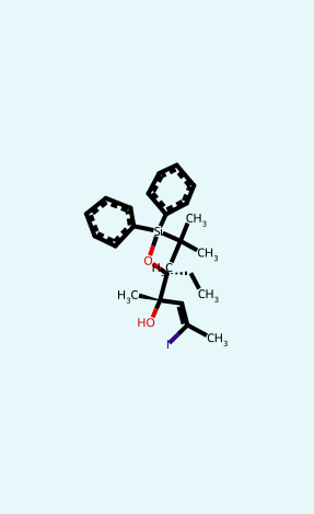 CC[C@@H](O[Si](c1ccccc1)(c1ccccc1)C(C)(C)C)[C@@](C)(O)C=C(C)I